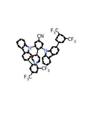 N#Cc1cc(-n2c3ccccc3c3ccc(-c4cc(C(F)(F)F)cc(C(F)(F)F)c4)cc32)c(-c2ccncc2)c(-n2c3ccccc3c3ccc(-c4cc(C(F)(F)F)cc(C(F)(F)F)c4)cc32)c1